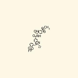 CCS(=O)(=O)c1ccc(C(CO)NC(=O)c2ccc3c(c2)nc(C2CCC2)n3Cc2cccc3c2OC(F)(F)O3)cc1